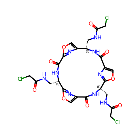 O=C(CCl)NC[C@@H]1NC(=O)c2coc(n2)[C@H](CNC(=O)CCl)NC(=O)c2coc(n2)[C@H](CNC(=O)CCl)NC(=O)c2nc1co2